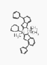 C[Si]1(C2CCCCC2)C2=Cc3c(-c4ccccc4)cccc3[CH]2[Hf]([CH3])([CH3])[CH]2C1=Cc1c(-c3ccccc3)cccc12